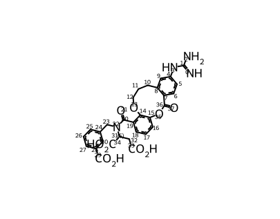 N=C(N)Nc1ccc2c(c1)CCCOc1c(cccc1C(=O)N(Cc1cccc(C(=O)O)c1)[C@@H](CC(=O)O)C(=O)O)OC2=O